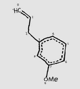 [CH]=CCc1cccc(OC)c1